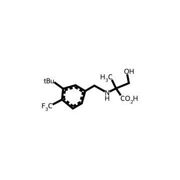 CC(CO)(NCc1ccc(C(F)(F)F)c(C(C)(C)C)c1)C(=O)O